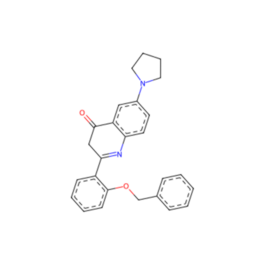 O=C1CC(c2ccccc2OCc2ccccc2)=Nc2ccc(N3CCCC3)cc21